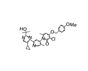 COc1ccc(COc2cc(C)n(-c3cc(-c4nc(C(C)(C)O)ncc4C4CC4)ncc3C)c(=O)c2Cl)cc1